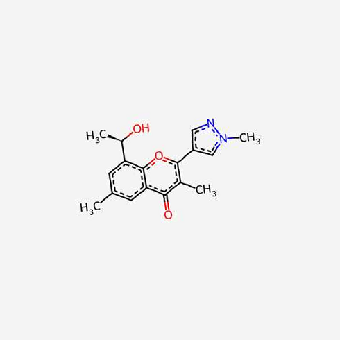 Cc1cc([C@@H](C)O)c2oc(-c3cnn(C)c3)c(C)c(=O)c2c1